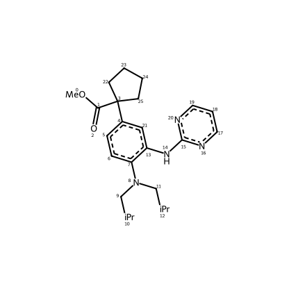 COC(=O)C1(c2ccc(N(CC(C)C)CC(C)C)c(Nc3ncccn3)c2)CCCC1